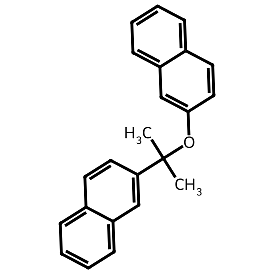 CC(C)(Oc1ccc2ccccc2c1)c1ccc2ccccc2c1